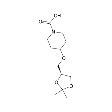 CC1(C)OC[C@H](COC2CCN(C(=O)O)CC2)O1